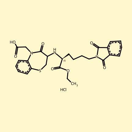 CCOC(=O)[C@H](CCCCN1C(=O)c2ccccc2C1=O)NC1CSc2ccccc2N(CC(=O)O)C1=O.Cl